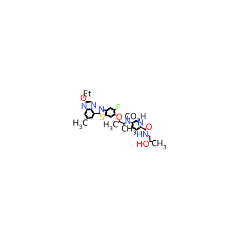 CCOc1cnc2c(-c3nc4cc(F)c(OC(C)C(C)N(C(=O)O)c5ccc(C(=O)NCC(C)O)nc5)cc4s3)cc(C)cc2n1